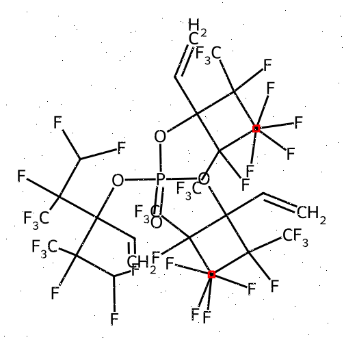 C=CC(OP(=O)(OC(C=C)(C(F)(C(F)F)C(F)(F)F)C(F)(C(F)F)C(F)(F)F)OC(C=C)(C(F)(C(F)F)C(F)(F)F)C(F)(C(F)F)C(F)(F)F)(C(F)(C(F)F)C(F)(F)F)C(F)(C(F)F)C(F)(F)F